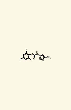 Bc1cn(BC(=O)Oc2c(F)cc(F)cc2F)nn1